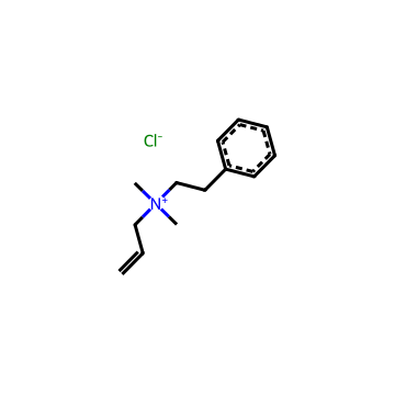 C=CC[N+](C)(C)CCc1ccccc1.[Cl-]